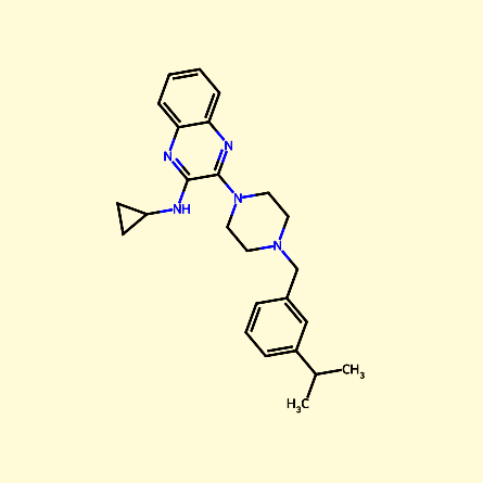 CC(C)c1cccc(CN2CCN(c3nc4ccccc4nc3NC3CC3)CC2)c1